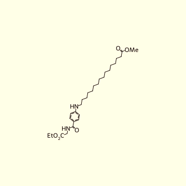 CCOC(=O)CNC(=O)c1ccc(NCCCCCCCCCCCCCCCC(=O)OC)cc1